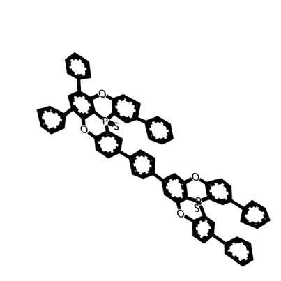 S=P12c3cc(-c4ccccc4)ccc3Oc3cc(-c4ccc(-c5ccc6c(c5)P5(=S)c7cc(-c8ccccc8)ccc7Oc7c(-c8ccccc8)cc(-c8ccccc8)c(c75)O6)cc4)cc(c31)Oc1ccc(-c3ccccc3)cc12